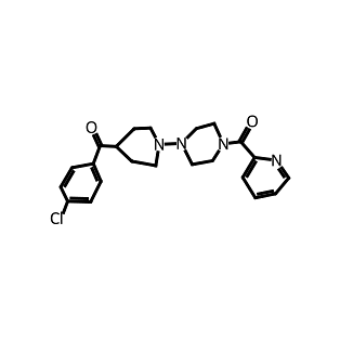 O=C(c1ccc(Cl)cc1)C1CCN(N2CCN(C(=O)c3ccccn3)CC2)CC1